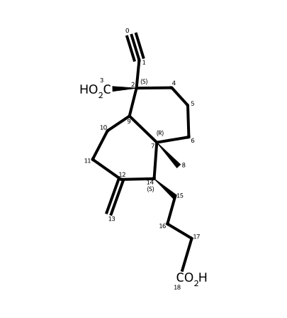 C#C[C@]1(C(=O)O)CCC[C@@]2(C)C1CCC(=C)[C@@H]2CCCC(=O)O